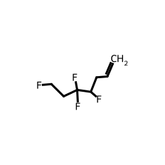 C=CCC(F)C(F)(F)CCF